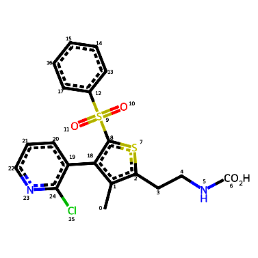 Cc1c(CCNC(=O)O)sc(S(=O)(=O)c2ccccc2)c1-c1cccnc1Cl